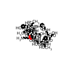 CC[C@H](C)[C@H](NC(=O)[C@H](CO)NC(=O)[C@H](Cc1ccc(O)cc1)NC(=O)[C@H](CC(=O)O)NC(=O)[C@H](CO)NC(=O)[C@@H](NC(=O)[C@H](Cc1ccccc1)NC(=O)[C@@H](NC(=O)CNC(=O)[C@H](CCC(=O)O)NC(=O)CCCNC(=O)CN1CCCCC1=O)[C@@H](C)O)[C@@H](C)O)C(=O)N[C@@H](Cc1ccc(O)cc1)C(=O)N[C@@H](CC(C)C)C(=O)N[C@@H](CC(=O)O)C(=O)N[C@H](C)CCCCN